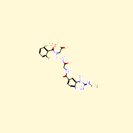 COC(=O)[C@H](CNC(=O)CNC(=O)c1cccc(N/C(N)=N/C#N)c1)NC(=O)c1c(Cl)cccc1Cl